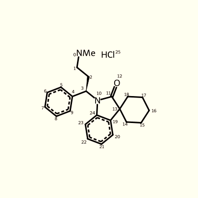 CNCC[C@H](c1ccccc1)N1C(=O)C2(CCCCC2)c2ccccc21.Cl